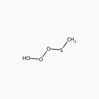 CSOOO